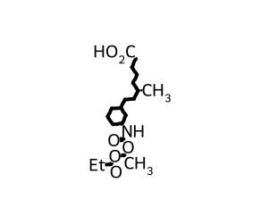 CCC(=O)O[C@H](C)OC(=O)NC1CCCC(CC[C@H](C)CCCCC(=O)O)C1